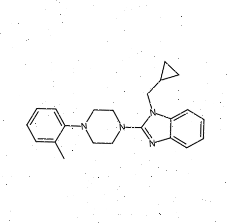 Cc1ccccc1N1CCN(c2nc3ccccc3n2CC2CC2)CC1